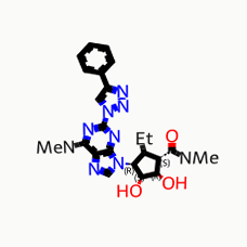 CCC1[C@@H](n2cnc3c(NC)nc(-n4cc(-c5ccccc5)nn4)nc32)[C@H](O)[C@H](O)[C@H]1C(=O)NC